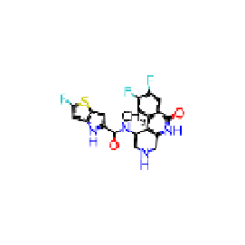 CN(C(=O)c1cc2sc(F)cc2[nH]1)C1CNCc2[nH]c(=O)c3cc(F)c(F)cc3c21